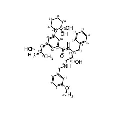 COc1cccc(CNC[C@@H](O)[C@H](Cc2ccccc2)NC(=O)c2cc(OC(C)C)cc(N3CCCCS3(O)O)c2)c1.Cl